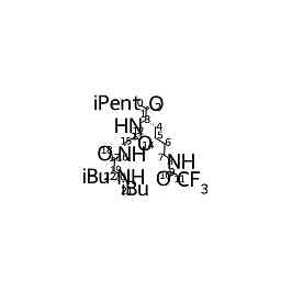 CCCC(C)C(=O)[C@H](CCCCNC(=O)C(F)(F)F)NC(=O)CNC(=O)C(NC(C)CC)[C@@H](C)CC